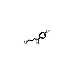 ClCCCNc1ccc(Br)cc1